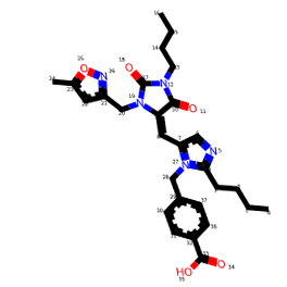 CCCCc1ncc(/C=C2\C(=O)N(CCCC)C(=O)N2Cc2cc(C)on2)n1Cc1ccc(C(=O)O)cc1